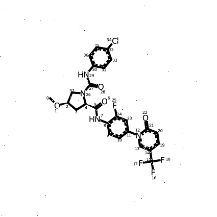 CO[C@@H]1C[C@H](C(=O)Nc2ccc(-n3cc(C(F)(F)F)ccc3=O)cc2F)N(C(=O)Nc2ccc(Cl)cc2)C1